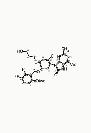 COc1ccc(F)c(F)c1COc1cc(-n2c(=O)[nH]c3c(C(C)=O)nc(C)nc32)c(Cl)cc1OCCCO